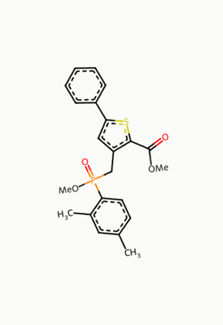 COC(=O)c1sc(-c2ccccc2)cc1CP(=O)(OC)c1ccc(C)cc1C